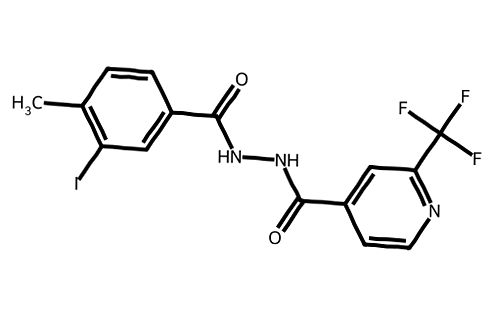 Cc1ccc(C(=O)NNC(=O)c2ccnc(C(F)(F)F)c2)cc1I